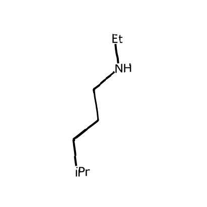 [CH2]CNCCCC(C)C